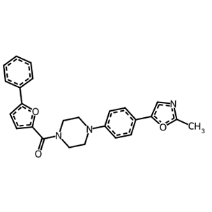 Cc1ncc(-c2ccc(N3CCN(C(=O)c4ccc(-c5ccccc5)o4)CC3)cc2)o1